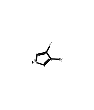 Fc1c[nH]cc1Br